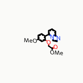 COC(=O)COc1cc(OC)ccc1-c1cccc2nccn12